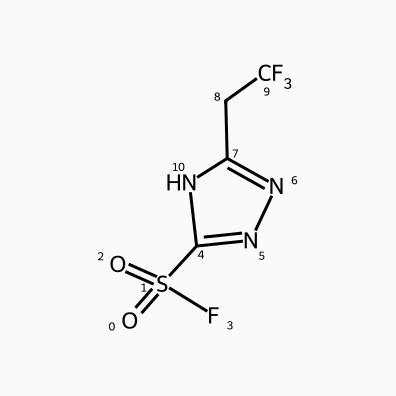 O=S(=O)(F)c1nnc(CC(F)(F)F)[nH]1